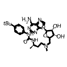 C[C@H](CCN(C)CC1OC(n2cnc3c(N)ncnc32)[C@H](O)[C@@H]1O)NC(=O)Nc1ccc(C(C)(C)C)cc1